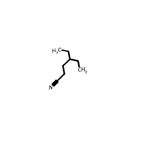 CC[C](CC)CCC#N